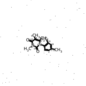 Cc1ccc(-n2c(C)c(C)c(=O)n(C)c2=O)c(C)c1